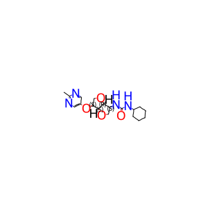 Cc1ncc(O[C@H]2CO[C@H]3[C@@H]2OC[C@@H]3NC(=O)NC2CCCCC2)cn1